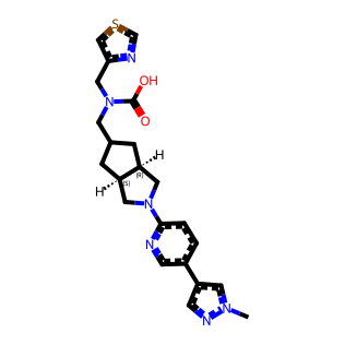 Cn1cc(-c2ccc(N3C[C@H]4CC(CN(Cc5cscn5)C(=O)O)C[C@H]4C3)nc2)cn1